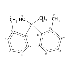 Cc1ccccc1C(C)(O)c1ccccc1C